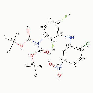 CC(C)(C)OC(=O)N(C(=O)OC(C)(C)C)c1ccc(F)c(Nc2cc([N+](=O)[O-])ccc2Cl)c1F